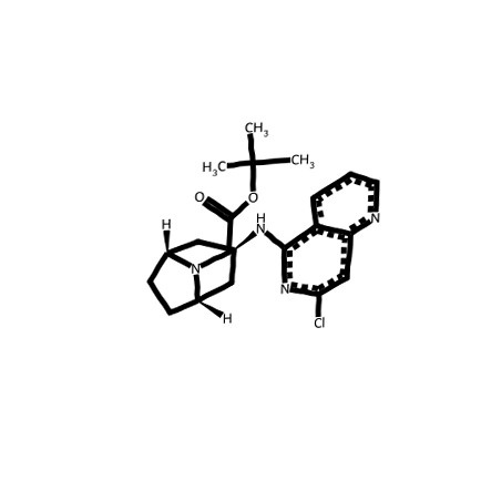 CC(C)(C)OC(=O)CN1[C@@H]2CC[C@H]1C[C@H](Nc1nc(Cl)cc3ncccc13)C2